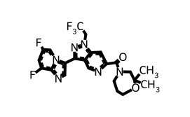 CC1(C)CN(C(=O)c2cc3c(cn2)c(-c2cnc4c(F)cc(F)cn24)nn3CC(F)(F)F)CCCO1